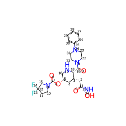 O=C(C[C@@H]1C[C@H](OC(=O)N2CCC(F)(F)C2)CN[C@@H]1C(=O)N1CCN(c2ccccc2)CC1)NO